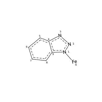 [Fe][n]1nnc2ccccc21